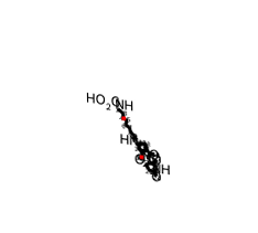 O=C(O)NCCCCCCCCNc1ccc2c(c1)C(=O)N(C1CCC(=O)NC1=O)C2=O